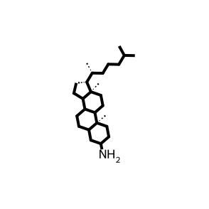 CC(C)CCC[C@@H](C)[C@H]1CCC2C3CCC4CC(N)CC[C@]4(C)C3CC[C@@]21C